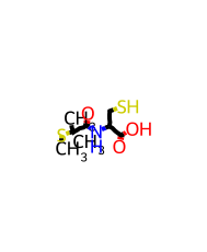 CSC(C)(C)C(=O)NC(CS)C(=O)O